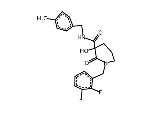 Cc1ccc(CNC(=O)C2(O)CCCN(Cc3cccc(F)c3F)C2=O)cc1